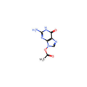 CC(=O)On1cnc2c(=O)[nH]c(N)nc21